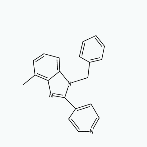 Cc1cccc2c1nc(-c1ccncc1)n2Cc1ccccc1